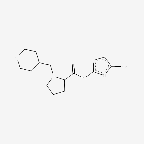 CC(C)(C)c1csc(NC(=O)C2CCCN2CC2CCOCC2)n1